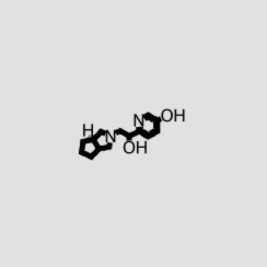 Oc1ccc(C(O)CN2CC3CCC[C@@H]3C2)nc1